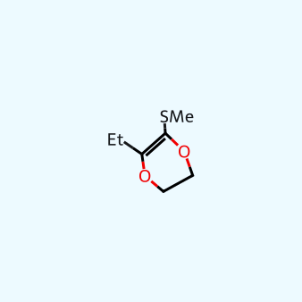 CCC1=C(SC)OCCO1